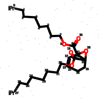 CC(C)CCCCCCCOC(=O)C12C=CCCC1(C(=O)OCCCCCCCC(C)C)O2